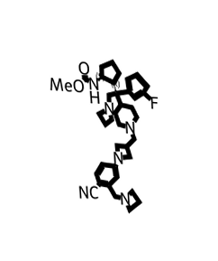 COC(=O)N[C@H]1CCC[C@@H]1C(CN1CCC1)(c1cccc(F)c1)C1CCN(CC2CN(c3ccc(C#N)c(CN4CCC4)c3)C2)CC1